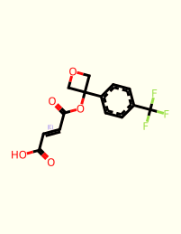 O=C(O)/C=C/C(=O)OC1(c2ccc(C(F)(F)F)cc2)COC1